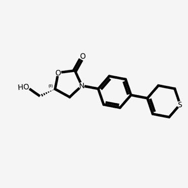 O=C1O[C@@H](CO)CN1c1ccc(C2=CCSCC2)cc1